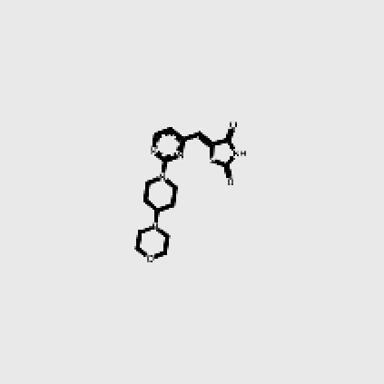 O=C1NC(=O)C(=Cc2ccnc(N3CCC(N4CCOCC4)CC3)n2)S1